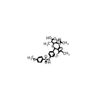 COc1ccc(S(=O)(=O)Nc2ccc(C3=NC([C@H](C)C(=O)O)c4nnc(C)n4-c4sc(C)c(C)c43)cc2)cc1